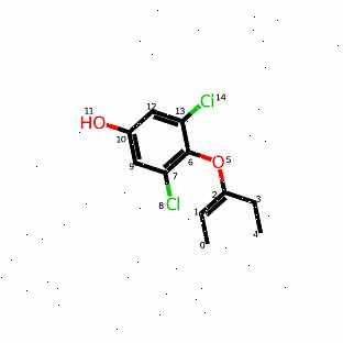 CC=C(CC)Oc1c(Cl)cc(O)cc1Cl